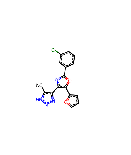 N#Cc1[nH]nnc1-c1nc(-c2cccc(Cl)c2)oc1-c1ccco1